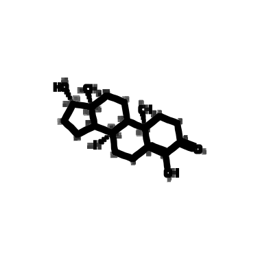 C[C@]12CCC(=O)C(O)=C1CC[C@@H]1C2CC[C@@]2(C)C1CC[C@@H]2O